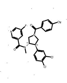 CN(C(=O)c1cncc(F)c1)[C@@H]1CN(C(=O)c2ccc(C#N)cc2)C[C@H]1c1ccc(Cl)c(Cl)c1